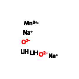 [LiH].[LiH].[Mn+2].[Na+].[Na+].[O-2].[O-2]